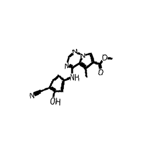 COC(=O)c1cn2ncnc(Nc3ccc(C#N)c(O)c3)c2c1C